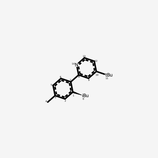 CC[C@H](C)c1cc(C)ccc1-c1cc(C(C)(C)C)ccn1